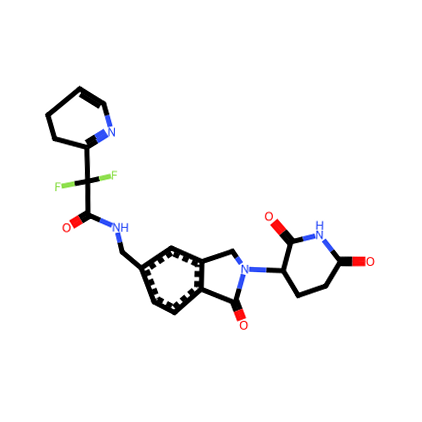 O=C1CCC(N2Cc3cc(CNC(=O)C(F)(F)C4=NC=CCC4)ccc3C2=O)C(=O)N1